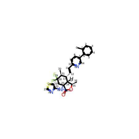 Cc1ccccc1-c1ccc(/C=C/[C@@H]2[C@@H]3[C@@H](C)OC(=O)[C@]3(Nc3cscn3)CC(F)(F)[C@H]2C)nc1